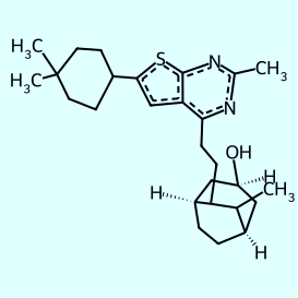 Cc1nc(CCC2C(C)[C@@H]3CC[C@H]2C[C@@H](O)C3)c2cc(C3CCC(C)(C)CC3)sc2n1